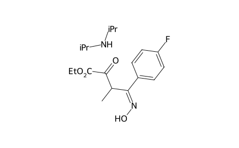 CC(C)NC(C)C.CCOC(=O)C(=O)C(C)C(=NO)c1ccc(F)cc1